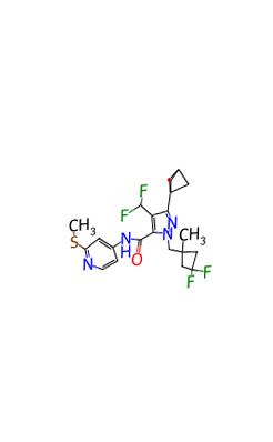 CSc1cc(NC(=O)c2c(C(F)F)c(C34CC(C3)C4)nn2CC2(C)CC(F)(F)C2)ccn1